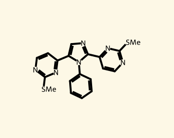 CSc1nccc(-c2cnc(-c3ccnc(SC)n3)n2-c2ccccc2)n1